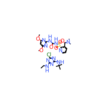 CCNc1nc(Cl)nc(NC(C)(C)C)n1.COc1cc(OC)nc(NC(=O)NS(=O)(=O)c2ncccc2C(=O)N(C)C)n1